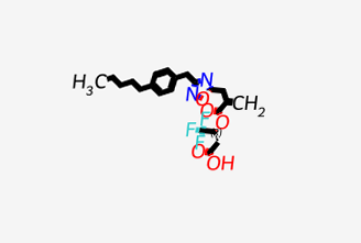 C=C(Cc1nc(Cc2ccc(CCCCC)cc2)no1)C(=O)O[C@H](CC(=O)O)C(F)(F)F